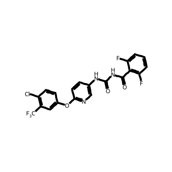 O=C(NC(=O)c1c(F)cccc1F)Nc1ccc(Oc2ccc(Cl)c(C(F)(F)F)c2)nc1